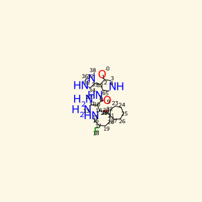 COC1CNCC(NC(=O)C(C(N)N)C2NCC(F)CCC3(CCCCCC3)C23CCC3)C1C1CNCN1C